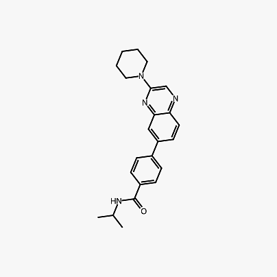 CC(C)NC(=O)c1ccc(-c2ccc3ncc(N4CCCCC4)nc3c2)cc1